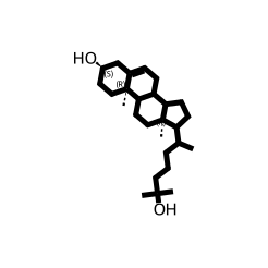 CC(CCCC(C)(C)O)C1CCC2C3CC=C4C[C@@H](O)CC[C@]4(C)C3CC[C@]12C